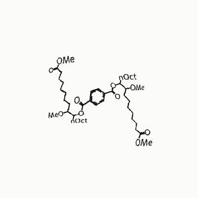 CCCCCCCCC(OC(=O)c1ccc(C(=O)OC(CCCCCCCC)C(CCCCCCCC(=O)OC)OC)cc1)C(CCCCCCCC(=O)OC)OC